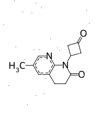 Cc1cnc2c(c1)CCC(=O)N2C1CC(=O)C1